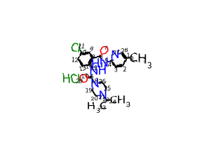 Cc1ccc(NC(=O)c2cc(Cl)ccc2NC(=O)N2CCN(C(C)C)CC2)nc1.Cl